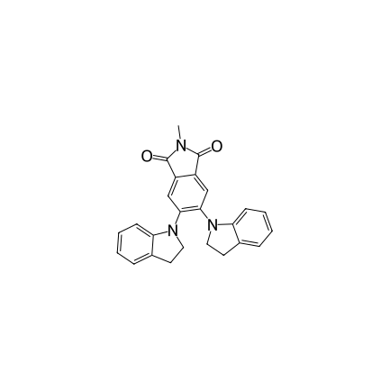 CN1C(=O)c2cc(N3CCc4ccccc43)c(N3CCc4ccccc43)cc2C1=O